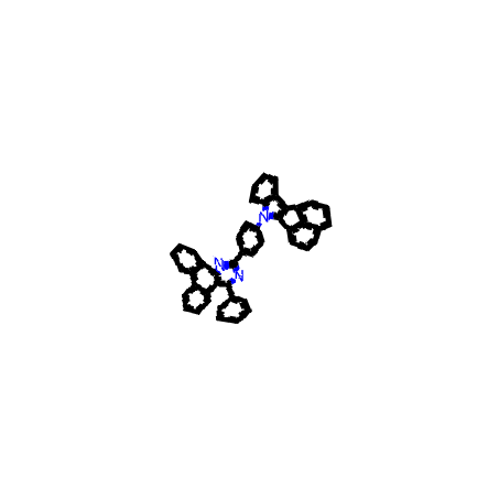 c1ccc(-c2nc(-c3ccc(-n4c5c(c6ccccc64)-c4cccc6cccc-5c46)cc3)nc3c4ccccc4c4ccccc4c23)cc1